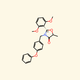 COc1cccc(OC)c1[C@@H]1OC(C)C(=O)N1Cc1ccc(Oc2ccccc2)cc1